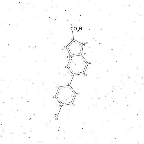 O=C(O)c1cn2cc(-c3ccc(Cl)cc3)ccc2n1